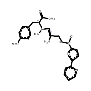 COC(=O)[C@H](Cc1ccc(OC)cc1)N(N)/C=C(\N)CN[S+]([O-])c1ccc(-c2ccccn2)s1